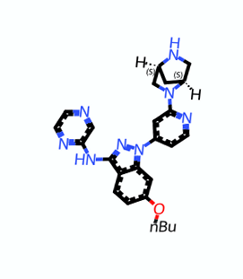 CCCCOc1ccc2c(Nc3cnccn3)nn(-c3ccnc(N4C[C@@H]5C[C@H]4CN5)c3)c2c1